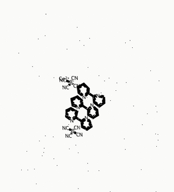 N#C[B-](C#N)(C#N)C#N.N#C[B-](C#N)(C#N)C#N.[Co+2].c1ccc(-c2ccccn2)nc1.c1ccc(-c2ccccn2)nc1.c1ccc(-c2ccccn2)nc1